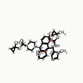 C/C=C(\c1cc(Cl)ccc1[C@@H](c1ccccn1)N1CCN(C(=O)OC2(C)CC2)CC1)[C@@H](NC(=O)OC1(C)CC1)c1cncn1C